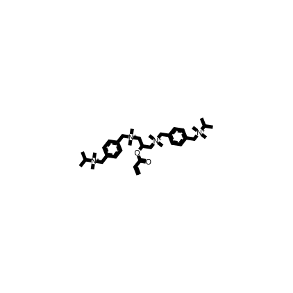 C=CC(=O)OC(C[N+](C)(C)Cc1ccc(C[N+](C)(C)C(C)C)cc1)C[N+](C)(C)Cc1ccc(C[N+](C)(C)C(C)C)cc1